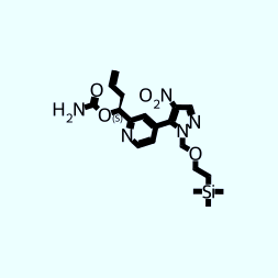 C=CC[C@H](OC(N)=O)c1cc(-c2c([N+](=O)[O-])cnn2COCC[Si](C)(C)C)ccn1